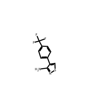 Nc1nscc1-c1ccc(C(F)(F)F)cc1